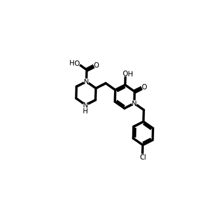 O=C(O)N1CCNCC1Cc1ccn(Cc2ccc(Cl)cc2)c(=O)c1O